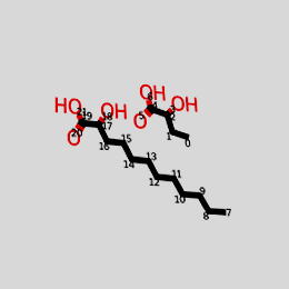 CCC(O)C(=O)O.CCCCCCCCCCC(O)C(=O)O